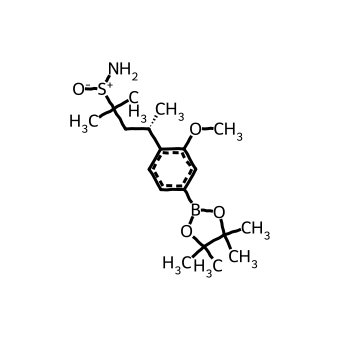 COc1cc(B2OC(C)(C)C(C)(C)O2)ccc1[C@@H](C)CC(C)(C)[S+](N)[O-]